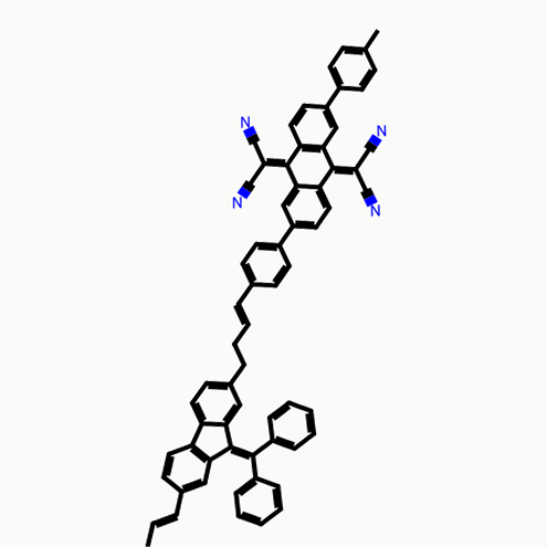 C/C=C/c1ccc2c(c1)C(=C(c1ccccc1)c1ccccc1)c1cc(CC/C=C/c3ccc(-c4ccc5c(=C(C#N)C#N)c6cc(-c7ccc(C)cc7)ccc6c(=C(C#N)C#N)c5c4)cc3)ccc1-2